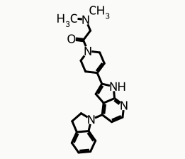 CN(C)CC(=O)N1CC=C(c2cc3c(N4CCc5ccccc54)ccnc3[nH]2)CC1